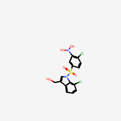 O=S(=O)(c1ccc(Cl)c(N(O)O)c1)n1cc(CO)c2cccc(Cl)c21